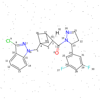 O=C([C@H]1CC2(Cn3nc(Cl)c4ccccc43)CC1C2)N1N=CCC1c1cc(F)cc(F)c1